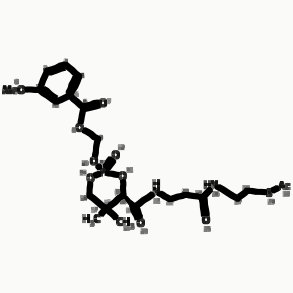 COc1cccc(C(=O)OCOP2(=O)OCC(C)(C)[C@H](C(=O)NCCC(=O)NCCSC(C)=O)O2)c1